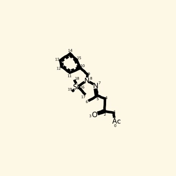 CC(=O)CC(=O)C/C(C)=N/N(Cc1ccccc1)[Si](C)(C)C